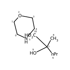 C1COCCN1.CCCC(C)(O)C(=O)O